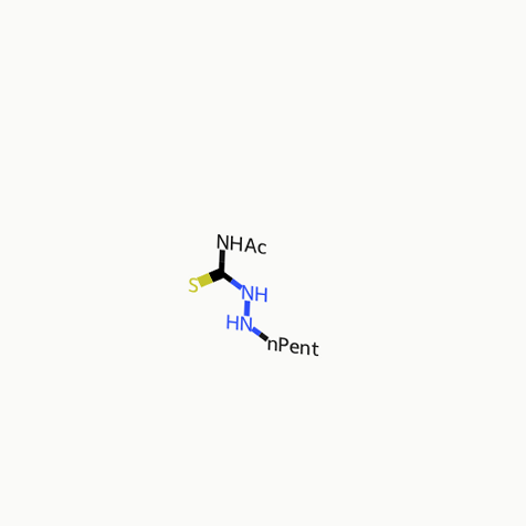 CCCCCNNC(=S)NC(C)=O